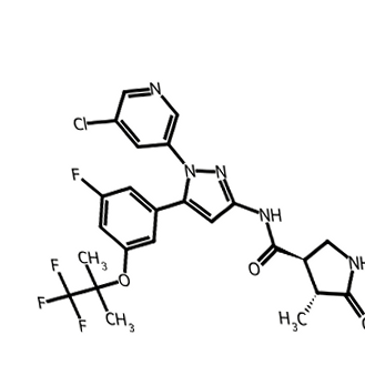 C[C@H]1C(=O)NC[C@@H]1C(=O)Nc1cc(-c2cc(F)cc(OC(C)(C)C(F)(F)F)c2)n(-c2cncc(Cl)c2)n1